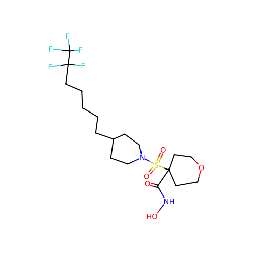 O=C(NO)C1(S(=O)(=O)N2CCC(CCCCCC(F)(F)C(F)(F)F)CC2)CCOCC1